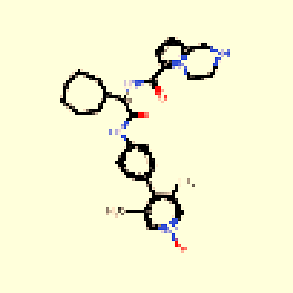 Cc1c[n+]([O-])cc(C)c1-c1ccc(NC(=O)[C@@H](NC(=O)c2ccc3n2CCNC3)C2CCCCCC2)cc1